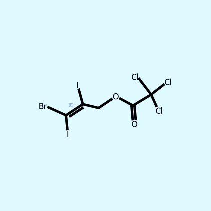 O=C(OC/C(I)=C(/Br)I)C(Cl)(Cl)Cl